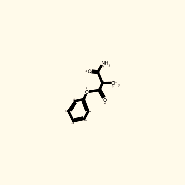 CC(C(N)=O)C(=O)Oc1ccccc1